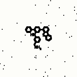 NCc1cccc(Nc2cc(-c3cccc4c3sc3ccccc34)ccc2-c2ccccc2)c1